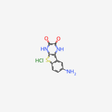 Cl.Nc1ccc2sc3[nH]c(=O)c(=O)[nH]c3c2c1